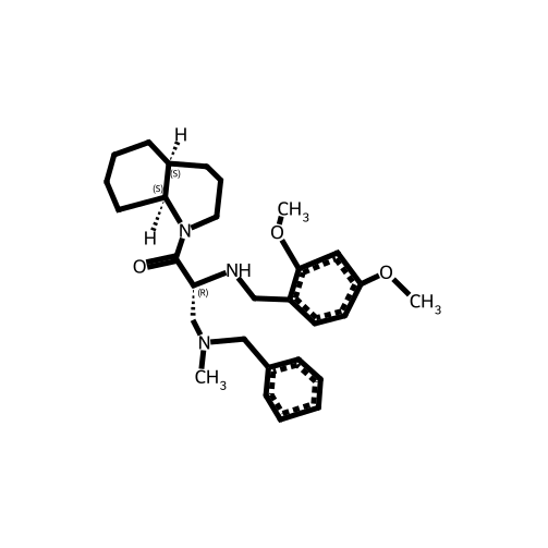 COc1ccc(CN[C@H](CN(C)Cc2ccccc2)C(=O)N2CCC[C@@H]3CCCC[C@@H]32)c(OC)c1